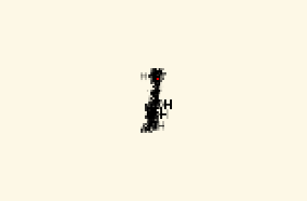 COc1cc(N=Nc2ccc(N=Nc3ccc(N=Nc4ccccc4S(=O)(=O)O)c(C)c3)c(C)c2)c(CO)cc1N=Nc1ccc2cc(Nc3ccc(C)cc3)ccc2c1O